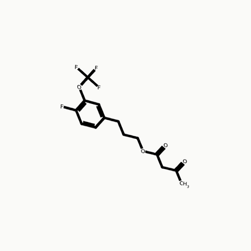 CC(=O)CC(=O)OCCCc1ccc(F)c(OC(F)(F)F)c1